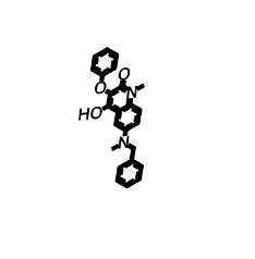 CN(Cc1ccccc1)c1ccc2c(c1)c(O)c(Oc1ccccc1)c(=O)n2C